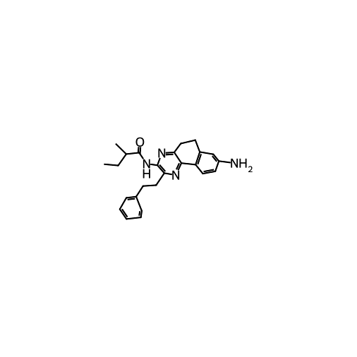 CCC(C)C(=O)Nc1nc2c(nc1CCc1ccccc1)-c1ccc(N)cc1CC2